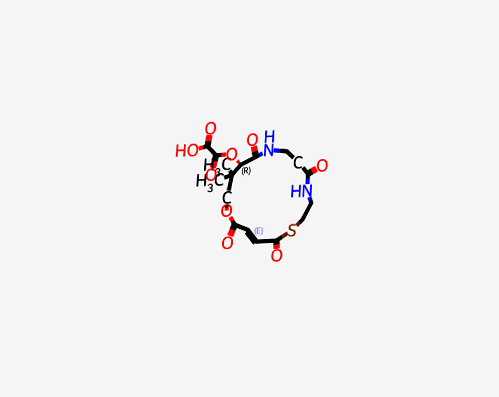 CC1(C)COC(=O)/C=C/C(=O)SCCNC(=O)CCNC(=O)[C@@H]1OC(=O)C(=O)O